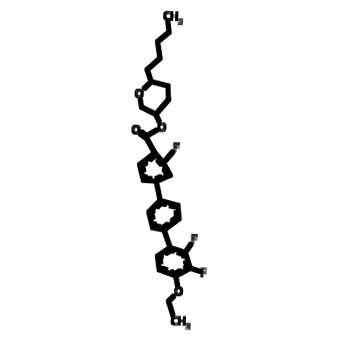 CCCCCC1CCC(OC(=O)c2ccc(-c3ccc(-c4ccc(OCC)c(F)c4F)cc3)cc2F)CO1